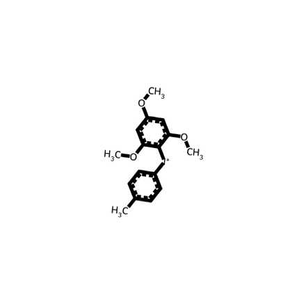 COc1cc(OC)c([I+]c2ccc(C)cc2)c(OC)c1